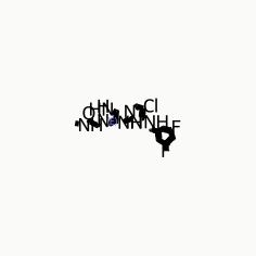 CNC(=O)CN/C=C(\C=N)Nc1ncc(Cl)c(NCc2cc(F)cc(F)c2)n1